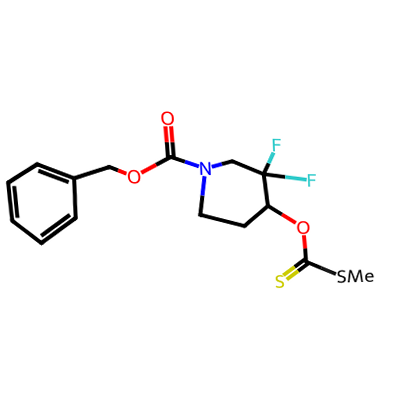 CSC(=S)OC1CCN(C(=O)OCc2ccccc2)CC1(F)F